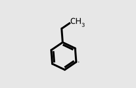 CCc1c[c]ccc1